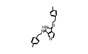 Cc1ccc(CC/N=C2\N/C(=N/CCc3ccc(C)cc3)c3cnccc32)cc1